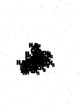 [2H]C([2H])([2H])C(=O)O[C@@H]1[C@]2(CC)C=CC(C)N3C(C)[C@@H](C)C4(c5c(cc(OCC)c([C@@]6(C(=O)OCC)C[C@@H]7C[C@@H](C(C)(F)F)CN(C(C)c8c6[nH]c6cc(C)c(C)cc86)C7C)c5C)N(CC)[C@H]4[C@@]1(O)C(=O)OC)[C@@H]32